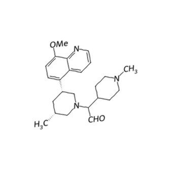 COc1ccc([C@H]2C[C@@H](C)CN(C(C=O)C3CCN(C)CC3)C2)c2cccnc12